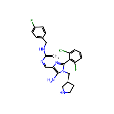 C=C(/N=C\c1nc(-c2c(F)cccc2Cl)n(C[C@H]2CCNC2)c1N)NCc1ccc(F)cc1